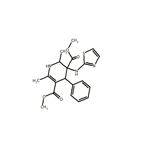 COC(=O)C1=C(C)NC(C)C(Nc2nccs2)(C(=O)OC)C1c1ccccc1